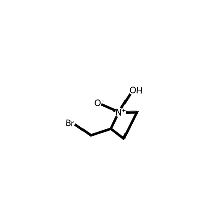 [O-][N+]1(O)CCC1CBr